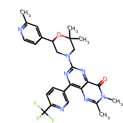 Cc1cc(C2CN(c3nc(-c4ccc(C(F)(F)F)nc4)c4nc(C)n(C)c(=O)c4n3)CC(C)(C)O2)ccn1